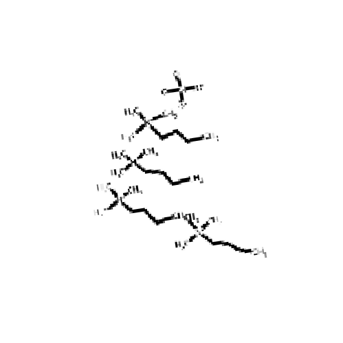 CCCC[N+](C)(C)C.CCCC[N+](C)(C)C.CCCC[N+](C)(C)C.CCCC[N+](C)(C)C.[O-][Si]([O-])([O-])[O-]